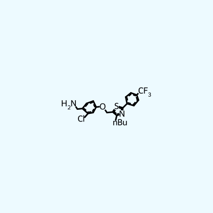 CCCCc1nc(-c2ccc(C(F)(F)F)cc2)sc1COc1ccc(CN)c(Cl)c1